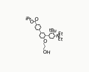 CCN(CC)c1ccc(-c2cc(-c3ccc(C(=O)OC(C)C)cc3)ccc2OCCCO)cc1C(C)(C)C